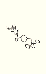 O=C(NCc1c[nH]nn1)C1CCC(CN2C(=O)CCC2=O)CC1